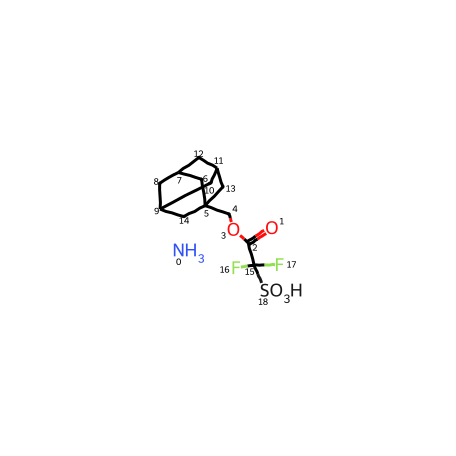 N.O=C(OCC12CC3CC(CC(C3)C1)C2)C(F)(F)S(=O)(=O)O